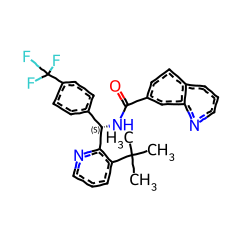 CC(C)(C)c1cccnc1[C@@H](NC(=O)c1ccc2cccnc2c1)c1ccc(C(F)(F)F)cc1